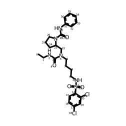 CCNC(=O)N(CCCCNS(=O)(=O)c1ccc(Cl)cc1Cl)CC1CCCN1C(=O)Nc1ccccc1